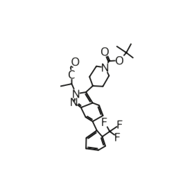 CC(CC=O)n1nc2cc(-c3ccccc3C(F)(F)F)ccc2c1C1CCN(C(=O)OC(C)(C)C)CC1